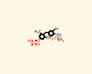 Cc1cc(OCP(=O)(O)O)cc(C)c1Cc1ccc(NS(C)(=O)=O)c(C(C)C)c1